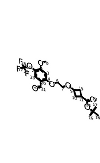 COc1cc(OCCOC2CC(C(=O)OC(C)(C)C)C2)c(C=O)cc1OC(F)(F)F